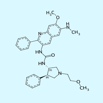 CNc1cc2cc(NC(=O)N[C@@H]3CN(CCOC)C[C@H]3c3ccccc3)c(-c3ccccc3)nc2cc1OC